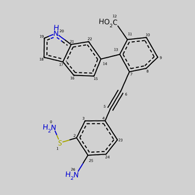 NSc1cc(C#Cc2cccc(C(=O)O)c2-c2ccc3cc[nH]c3c2)ccc1N